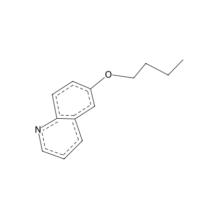 CCCCOc1ccc2ncccc2c1